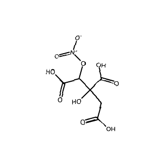 O=C(O)CC(O)(C(=O)O)C(O[N+](=O)[O-])C(=O)O